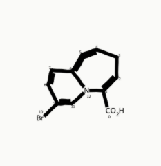 O=C(O)C1=CCC=C=C2C=CC(Br)=CN21